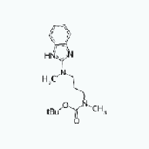 CN(CCCN(C)c1nc2ccccc2[nH]1)C(=O)OC(C)(C)C